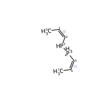 C/C=C\P[PH3]/C=C\C